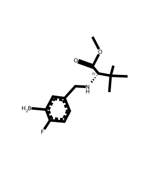 Bc1cc(CN[C@H](C(=O)OC)C(C)(C)C)ccc1F